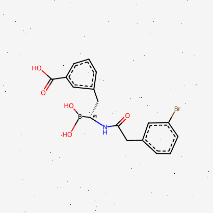 O=C(Cc1cccc(Br)c1)N[C@@H](Cc1cccc(C(=O)O)c1)B(O)O